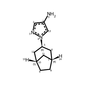 Nc1cnn([C@H]2C[C@@H]3CC[C@@H](C3)C2)c1